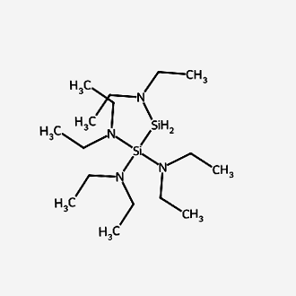 CCN(CC)[SiH2][Si](N(CC)CC)(N(CC)CC)N(CC)CC